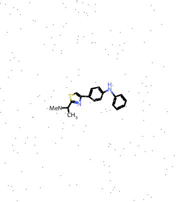 CNC(C)c1nc(-c2ccc(Nc3ccccc3)cc2)cs1